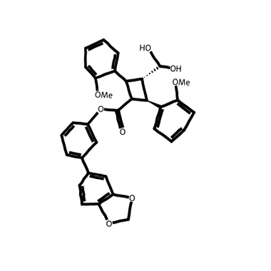 COc1ccccc1C1C(C(=O)Oc2cccc(-c3ccc4c(c3)OCO4)c2)[C@H](c2ccccc2OC)[C@H]1C(O)O